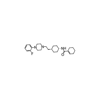 O=C(N[C@H]1CC[C@H](CCN2CCN(c3ccccc3F)CC2)CC1)C1=CCCCC1